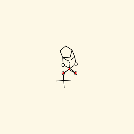 CC(C)(C)OC(=O)N1C2OC(C)(C)OC13CCC2C3